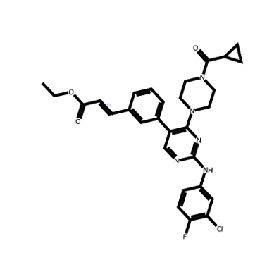 CCOC(=O)/C=C/c1cccc(-c2cnc(Nc3ccc(F)c(Cl)c3)nc2N2CCN(C(=O)C3CC3)CC2)c1